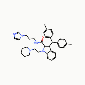 Cc1ccc(C(c2ccc(C)cc2)c2c(C(=O)NCCCn3ccnc3)n(CCN3CCCCC3)c3ccccc23)cc1